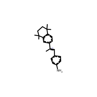 C/C(=C\c1ccc(N)cc1)c1ccc2c(c1)C(C)(C)CCC2(C)C